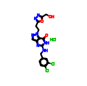 Cl.O=c1[nH]c(NCc2ccc(Cl)c(Cl)c2)nc2cnn(CCc3nnc(CO)o3)c12